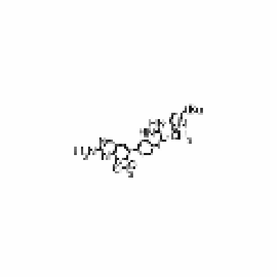 Cn1nc(C(C)(C)C)cc1NC(=O)Nc1cc(-c2cc3cnc(N)nc3n(C)c2=O)ccc1F